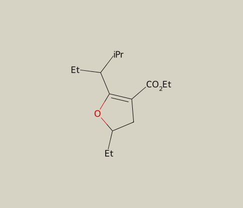 CCOC(=O)C1=C(C(CC)C(C)C)OC(CC)C1